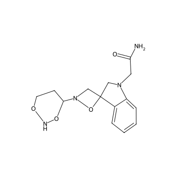 NC(=O)CN1CC2(CN(C3CCONO3)O2)c2ccccc21